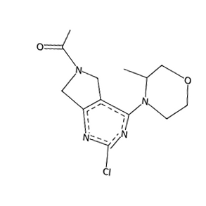 CC(=O)N1Cc2nc(Cl)nc(N3CCOCC3C)c2C1